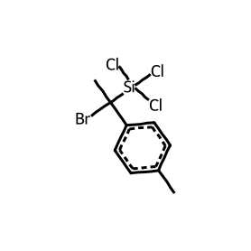 Cc1ccc(C(C)(Br)[Si](Cl)(Cl)Cl)cc1